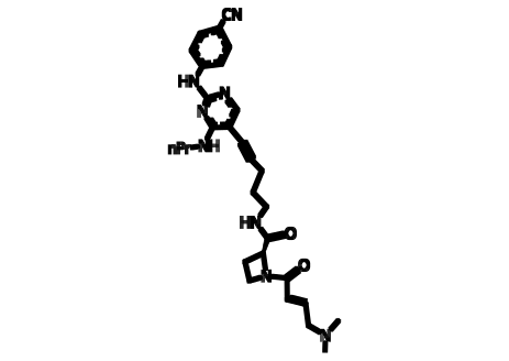 CCCNc1nc(Nc2ccc(C#N)cc2)ncc1C#CCCCNC(=O)[C@@H]1CCN1C(=O)/C=C/CN(C)C